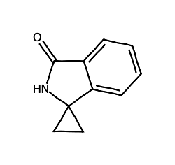 O=C1NC2(CC2)c2ccccc21